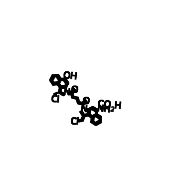 O=C(O)Nc1cc2c(c3ccccc13)C(CCl)CN2C(=O)CCCC(=O)N1C[C@@H](CCl)c2c1cc(O)c1ccccc21